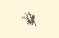 CCCCNS(=O)(=O)NC(=O)c1ccc2nc(C)n(Cc3ccc(OCC)cc3Cl)c2c1